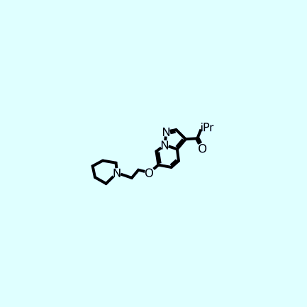 CC(C)C(=O)c1cnn2cc(OCCN3CCCCC3)ccc12